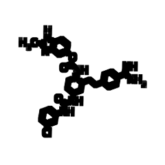 Cc1nc2cc(OC(=O)NN3CCC(NC(=O)Nc4cccc(Cl)c4)CC3CCc3ccc(C(=N)N)cc3)ccc2[nH]1